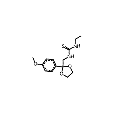 CCNC(=S)NCC1(c2ccc(OC)cc2)OCCO1